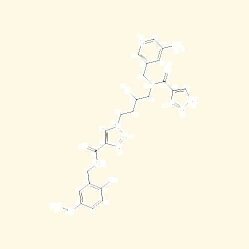 O=C(NCc1cc(OC(F)(F)F)ccc1F)c1cn(CCC(F)CN(Cc2cncc(C(F)(F)F)c2)C(=O)c2c[nH]nn2)nn1